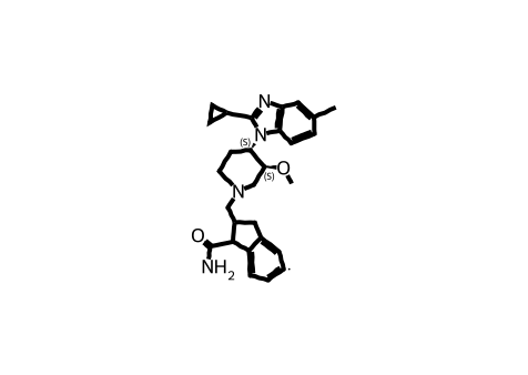 CO[C@H]1CN(CC2Cc3c[c]ccc3C2C(N)=O)CC[C@@H]1n1c(C2CC2)nc2cc(C)ccc21